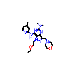 CCOCCn1nc(CN2CCOCC2)c2nc(N(C)C)nc(Nc3cc(C)ccn3)c21